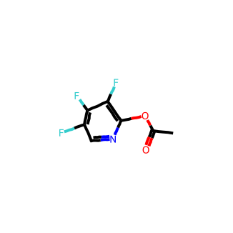 CC(=O)Oc1ncc(F)c(F)c1F